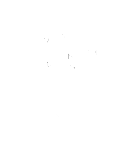 CN1CC2CCCN2C(=O)c2nn(-c3ccccc3Cl)c(-c3ccc(Cl)cc3)c21